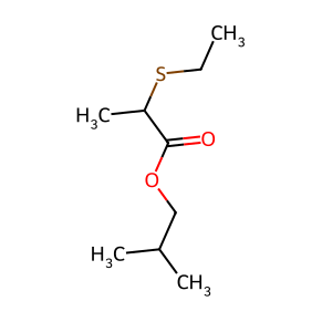 CCSC(C)C(=O)OCC(C)C